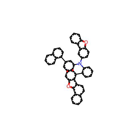 c1cc(-c2cccc3ccccc23)cc(N(c2ccc3oc4ccccc4c3c2)c2ccccc2-c2cccc3oc4c5ccccc5ccc4c23)c1